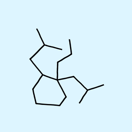 CCCC1(CC(C)C)CCCCC1CC(C)C